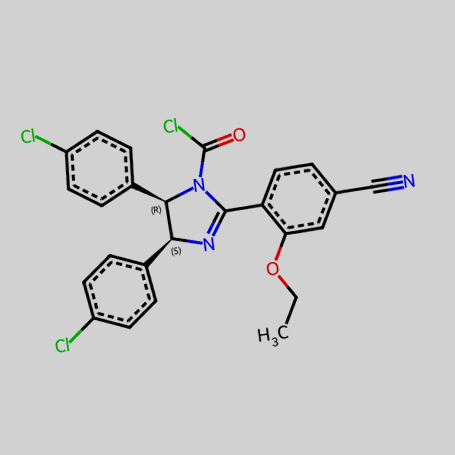 CCOc1cc(C#N)ccc1C1=N[C@@H](c2ccc(Cl)cc2)[C@@H](c2ccc(Cl)cc2)N1C(=O)Cl